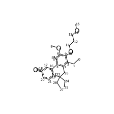 CCc1c2c(nc(OC)c1OCCCOC)-c1cc(=O)ccn1C(CC)(CC)C2